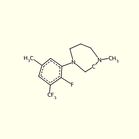 Cc1cc(N2CCCN(C)CC2)c(F)c(C(F)(F)F)c1